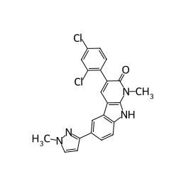 Cn1ccc(-c2ccc3[nH]c4c(cc(-c5ccc(Cl)cc5Cl)c(=O)n4C)c3c2)n1